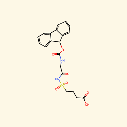 O=C(O)CCCS(=O)(=O)NC(=O)CNC(=O)OC1c2ccccc2-c2ccccc21